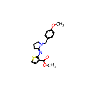 COC(=O)c1ccsc1N=C1CCCN1Cc1ccc(OC)cc1